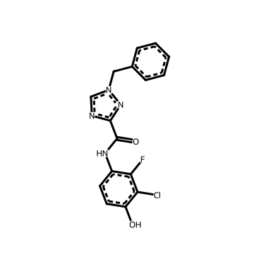 O=C(Nc1ccc(O)c(Cl)c1F)c1ncn(Cc2ccccc2)n1